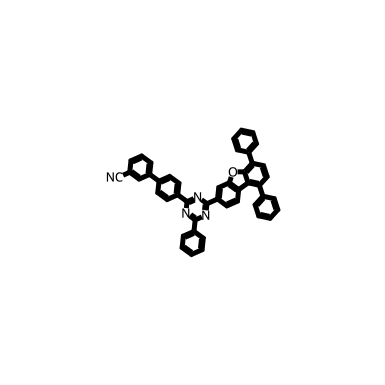 N#Cc1cccc(-c2ccc(-c3nc(-c4ccccc4)nc(-c4ccc5c(c4)oc4c(-c6ccccc6)ccc(-c6ccccc6)c45)n3)cc2)c1